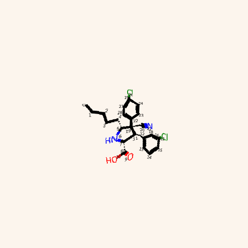 CCCCC[C@H]1N[C@@H](C(=O)O)[C@H](c2cccc(Cl)c2)[C@@]1(C#N)c1ccc(Cl)cc1